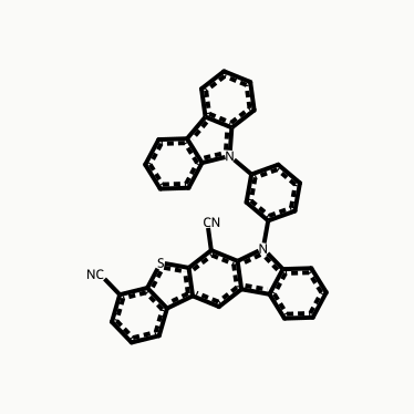 N#Cc1cccc2c1sc1c(C#N)c3c(cc12)c1ccccc1n3-c1cccc(-n2c3ccccc3c3ccccc32)c1